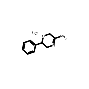 Cl.NC1=NCC(c2ccccc2)OC1